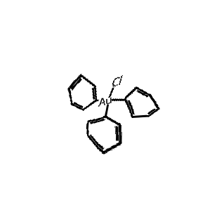 [Cl][Au]([c]1ccccc1)([c]1ccccc1)[c]1ccccc1